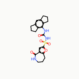 O=C(Nc1c2c(cc3c1CCC3)CCC2)NS(=O)(=O)c1cc2c(o1)CCCNC2=O